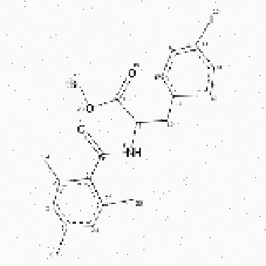 Cc1cc(C)c(C(=O)NC(Cc2ccc(I)cc2)C(=O)OC(C)(C)C)c(C)c1